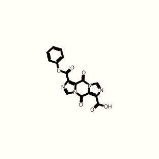 O=C(O)c1ncn2c(=O)c3c(C(=O)Oc4ccccc4)ncn3c(=O)c12